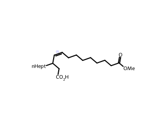 CCCCCCCC(/C=C\CCCCCCCC(=O)OC)CC(=O)O